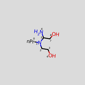 CCCN(CCO)C(N)CO